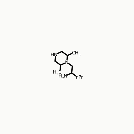 CCCC(N)CN1C(C)CNCC1C